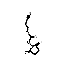 N#CCCOC(=O)ON1C(=O)CCC1=O